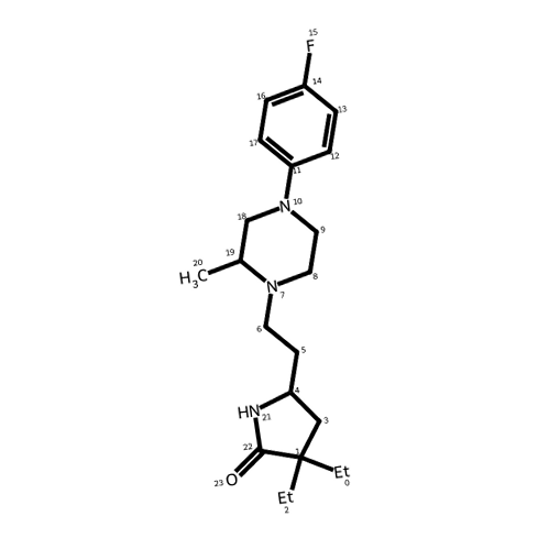 CCC1(CC)CC(CCN2CCN(c3ccc(F)cc3)CC2C)NC1=O